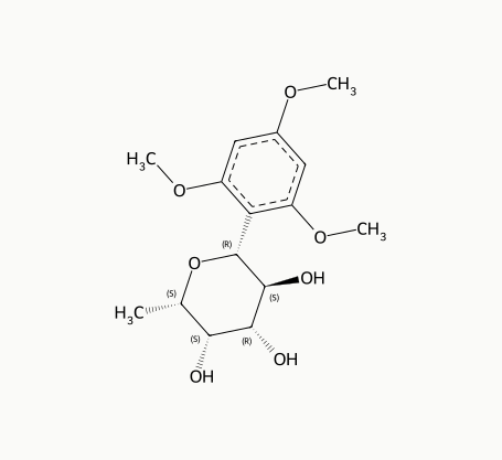 COc1cc(OC)c([C@H]2O[C@@H](C)[C@@H](O)[C@@H](O)[C@@H]2O)c(OC)c1